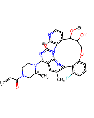 C=CC(=O)N1CCN(c2nc(=O)n3c4nc(c(C)cc24)-c2c(F)cccc2OCC(O)C(OCC)c2ccnc(C(C)C)c2-3)[C@@H](C)C1